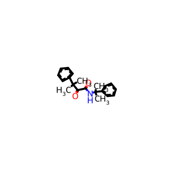 CC(C)(NC(=O)C(=O)C(C)(C)c1ccccc1)c1ccccc1